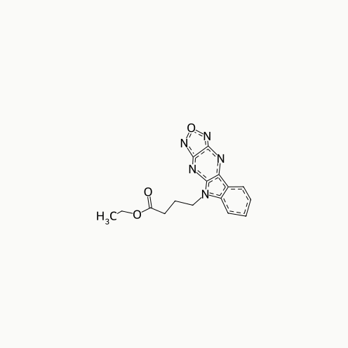 CCOC(=O)CCCn1c2ccccc2c2nc3nonc3nc21